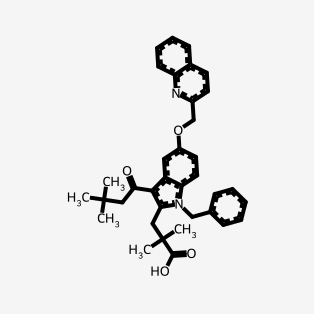 CC(C)(C)CC(=O)c1c(CC(C)(C)C(=O)O)n(Cc2ccccc2)c2ccc(OCc3ccc4ccccc4n3)cc12